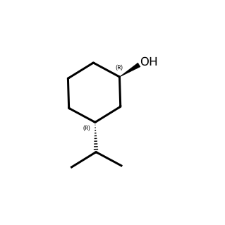 CC(C)[C@@H]1CCC[C@@H](O)C1